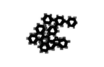 c1ccc(-c2ccc(-c3ccccc3)c(-c3ccc(N(c4c(-c5ccccc5)c5ccccc5c5ccccc45)c4cccc5c4oc4ccccc45)cc3)c2)cc1